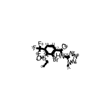 CC[S+]([O-])c1c(C(F)(F)F)ccc(C(=O)Nc2nnnn2C)c1Br